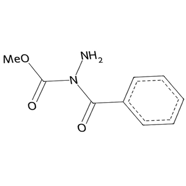 COC(=O)N(N)C(=O)c1ccccc1